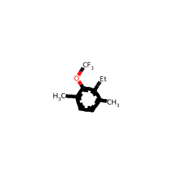 CCc1c(C)ccc(C)c1OC(F)(F)F